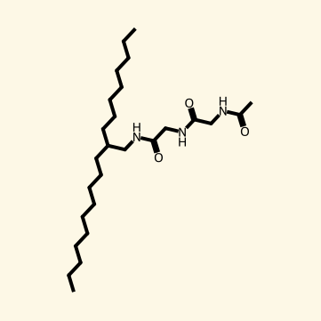 CCCCCCCCCCC(CCCCCCCC)CNC(=O)CNC(=O)CNC(C)=O